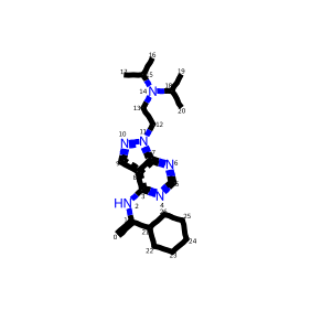 C=C(Nc1ncnc2c1cnn2CCN(C(C)C)C(C)C)C1CCCCC1